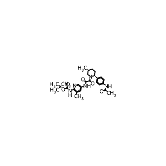 CC(=O)Nc1ccc([C@@H]2CC[C@@H](C)CN2C(=O)C(=O)Nc2cnc(NC(=O)OC(C)(C)C)c(C)c2)cc1